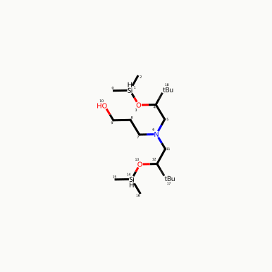 C[SiH](C)OC(CN(CCCO)CC(O[SiH](C)C)C(C)(C)C)C(C)(C)C